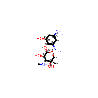 CN[C@@H]1[C@@H](O)[C@@H](O[C@H]2[C@H](N)C[C@H](N)C[C@@H]2O)OC[C@]1(C)O